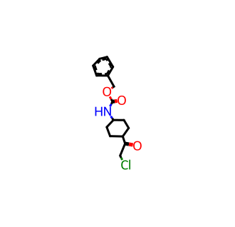 O=C(NC1CCC(C(=O)CCl)CC1)OCc1ccccc1